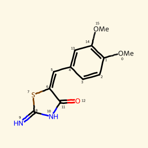 COc1ccc(/C=C2/SC(=N)NC2=O)cc1OC